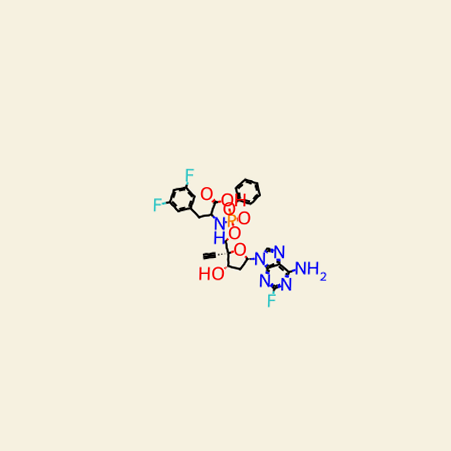 C#C[C@]1(CO[P@](=O)(NC(Cc2cc(F)cc(F)c2)C(=O)O)Oc2ccccc2)O[C@@H](n2cnc3c(N)nc(F)nc32)C[C@@H]1O